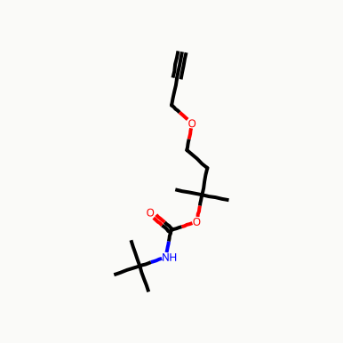 C#CCOCCC(C)(C)OC(=O)NC(C)(C)C